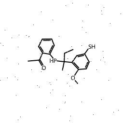 CCC(C)(Pc1ccccc1C(C)=O)c1cc(S)ccc1OC